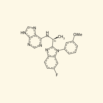 COc1cccc(-n2c([C@H](C)Nc3ncnc4[nH]cnc34)nc3ccc(F)cc32)c1